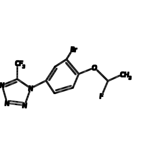 CC(F)Oc1ccc(-n2nnnc2C(F)(F)F)cc1Br